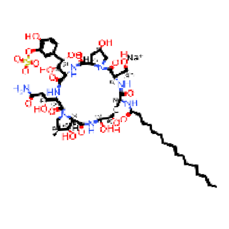 CCCCCCCCCCCCCCCC(=O)N[C@H]1C[C@@H](O)[C@@H](O)NC(=O)[C@@H]2[C@@H](O)[C@@H](C)CN2C(=O)[C@H]([C@H](O)CC(N)=O)NC(=O)[C@H]([C@H](O)[C@@H](O)c2ccc(O)c(OS(=O)(=O)[O-])c2)NC(=O)[C@@H]2C[C@@H](O)CN2C(=O)[C@H]([C@@H](C)O)NC1=O.[Na+]